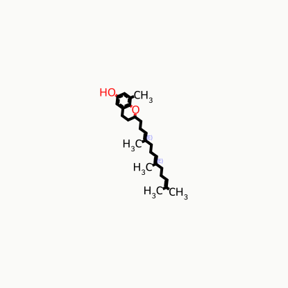 CC(C)=CCC/C(C)=C/CC/C(C)=C/CCC1CCc2cc(O)cc(C)c2O1